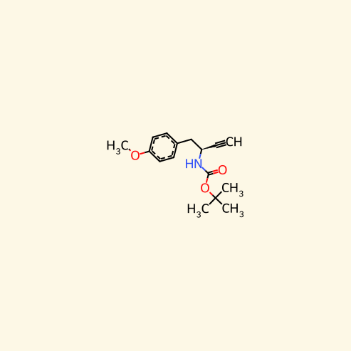 C#C[C@H](Cc1ccc(OC)cc1)NC(=O)OC(C)(C)C